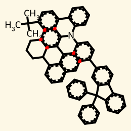 CC(C)(C)c1ccc(-c2ccccc2N(c2ccc(-c3ccc4c(c3)C(c3ccccc3)(c3ccccc3)c3ccccc3-4)cc2)c2ccccc2-c2cccc3cccc(C4CCCCC4)c23)cc1